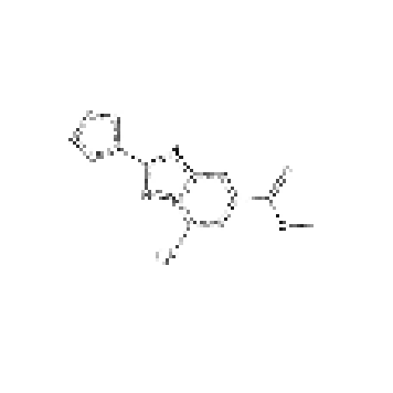 COC(=O)c1cc(N)n2nc(-c3cccs3)nc2c1